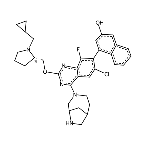 Oc1cc(-c2c(Cl)cc3c(N4CCC5CNC(C5)C4)nc(OC[C@@H]4CCCN4CC4CC4)nc3c2F)c2ccccc2c1